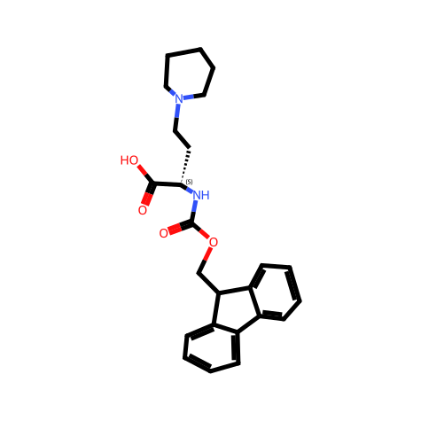 O=C(N[C@@H](CCN1CCCCC1)C(=O)O)OCC1c2ccccc2-c2ccccc21